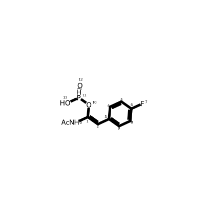 CC(=O)NC(=Cc1ccc(F)cc1)O[PH](=O)O